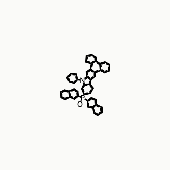 O=P(c1ccc2ccccc2c1)(c1ccc2ccccc2c1)c1ccc2c3cc4c5ccccc5c5ccccc5c4cc3n(-c3ccccc3)c2c1